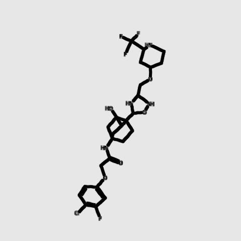 O=C(COc1ccc(Cl)c(F)c1)NC12CCC(C3NC(COC4CCNC(C(F)(F)F)C4)NO3)(CC1)C(O)C2